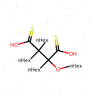 CCCCCCOC(CCCCCC)(C(O)=S)C(CCCCCC)(CCCCCC)C(O)=S